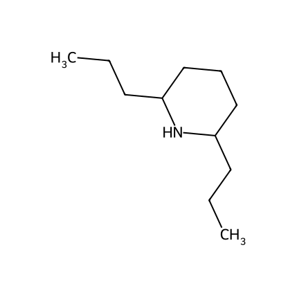 CCCC1CCCC(CCC)N1